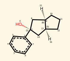 O[C@]1(c2ccccc2)C[C@H]2CCC[C@H]2C1